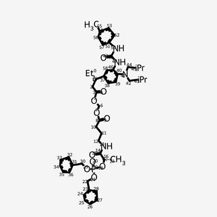 CC[C@@H](CC(=O)OCOC(=O)CCCNC(=O)[C@H](C)OP(=O)(OCc1ccccc1)OCc1ccccc1)c1ccc(N(CC(C)C)CC(C)C)c(NC(=O)Nc2ccc(C)cc2)c1